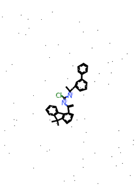 C=C(/N=C(Cl)\N=C(/C)c1cccc(-c2ccccc2)c1)c1cccc2c1-c1ccccc1C2(C)C